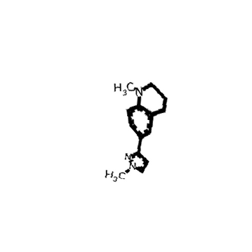 CN1CCCc2cc(-c3ccn(C)n3)ccc21